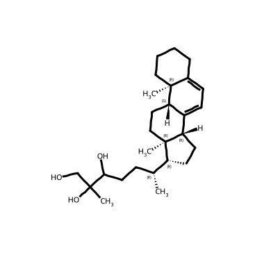 C[C@H](CCC(O)C(C)(O)CO)[C@H]1CC[C@H]2C3=CC=C4CCCC[C@]4(C)[C@H]3CC[C@]12C